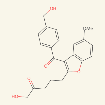 COc1ccc2oc(CCCC(=O)CO)c(C(=O)c3ccc(CO)cc3)c2c1